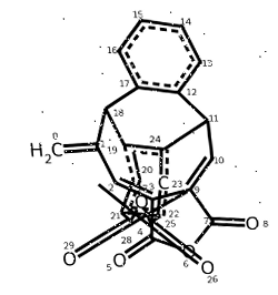 C=C1/C=C2/C(=O)OC(=O)/C2=C/C2c3ccccc3C1c1cc3c(cc12)C(=O)OC3=O